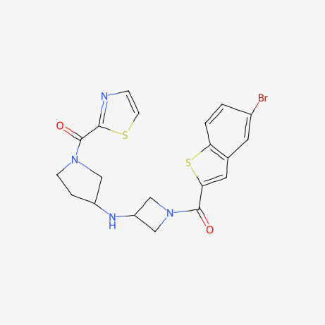 O=C(c1cc2cc(Br)ccc2s1)N1CC(NC2CCN(C(=O)c3nccs3)C2)C1